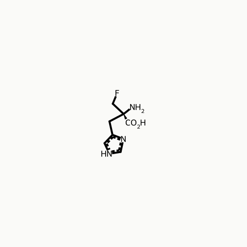 N[C@@](CF)(Cc1c[nH]cn1)C(=O)O